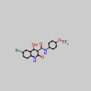 O=C(Nc1ccc(OC(F)(F)F)cc1)c1c(O)c2cc(Br)ccc2[nH]c1=O